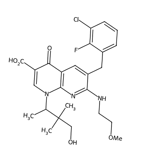 COCCNc1nc2c(cc1Cc1cccc(Cl)c1F)c(=O)c(C(=O)O)cn2C(C)C(C)(C)CO